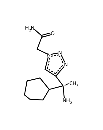 C[C@@](N)(c1cn(CC(N)=O)nn1)C1CCCCC1